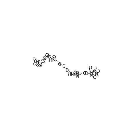 CCCn1c(=O)n(CC)c(=O)c2nc(C34CCC(CCC(=O)N(C)CC(=O)NCCCOCCOCCOCCCNC(=O)CN(C)C(=O)COc5ccc(-c6ccc7n6[B-](F)(F)[N+]6=C(c8cccs8)C=CC6=C7)cc5)(CC3)CC4)[nH]c21